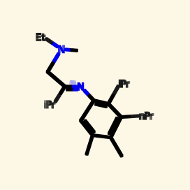 CCCc1c(C)c(C)cc(/N=C(/CN(C)CC)C(C)C)c1C(C)C